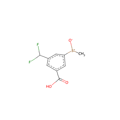 C[S+]([O-])c1cc(C(=O)O)cc(C(F)F)c1